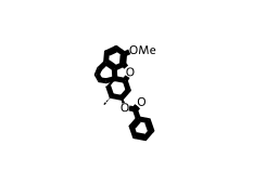 COc1ccc2c3c1OC1C[C@@H](OC(=O)c4ccccc4)[C@H](C)C[C@@]31CCCC2